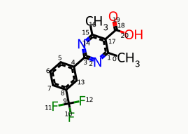 Cc1nc(-c2cccc(C(F)(F)F)c2)nc(C)c1C(=O)O